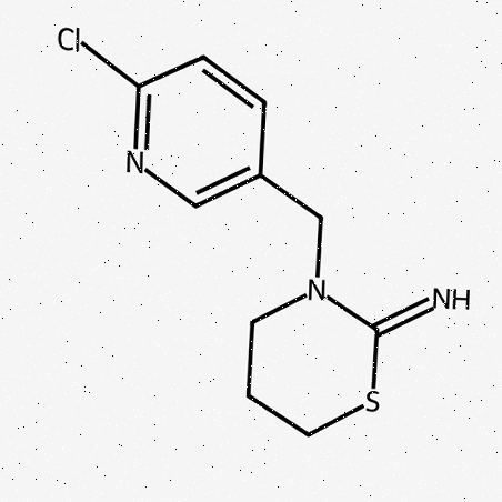 N=C1SCCCN1Cc1ccc(Cl)nc1